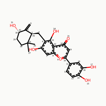 C=C1[C@@H](Cc2c(O)cc3oc(-c4ccc(O)c(O)c4)cc(=O)c3c2O)C(C)(C)CC[C@@H]1O